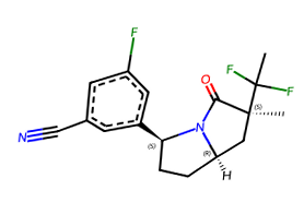 CC(F)(F)[C@@]1(C)C[C@H]2CC[C@@H](c3cc(F)cc(C#N)c3)N2C1=O